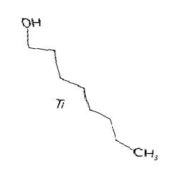 CCCCCCCCO.[Ti]